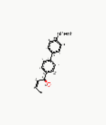 C/C=C\C(=O)c1ccc(-c2ccc(CCCCC)cc2)cc1